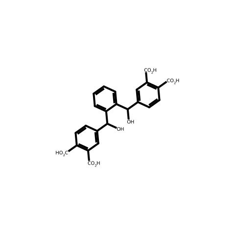 O=C(O)c1ccc(C(O)c2ccccc2C(O)c2ccc(C(=O)O)c(C(=O)O)c2)cc1C(=O)O